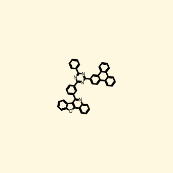 c1ccc(-c2nc(-c3cccc(-c4nc5ccccc5c5oc6ccccc6c45)c3)nc(-c3ccc4c5ccccc5c5ccccc5c4c3)n2)cc1